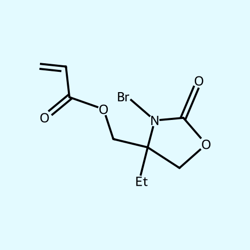 C=CC(=O)OCC1(CC)COC(=O)N1Br